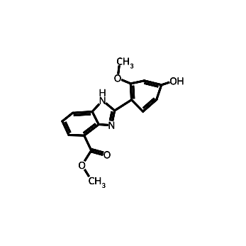 COC(=O)c1cccc2[nH]c(-c3ccc(O)cc3OC)nc12